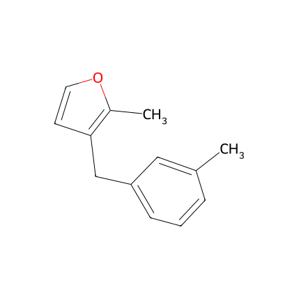 Cc1cccc(Cc2ccoc2C)c1